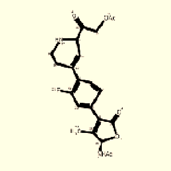 CC(=O)N[C@@H]1OC(=O)C(c2ccc(C3=CC(C(=O)COC(C)=O)NCC3)c(F)c2)=C1C